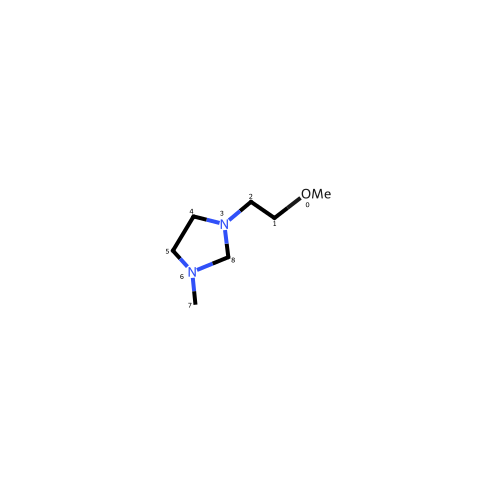 COCCN1CCN(C)C1